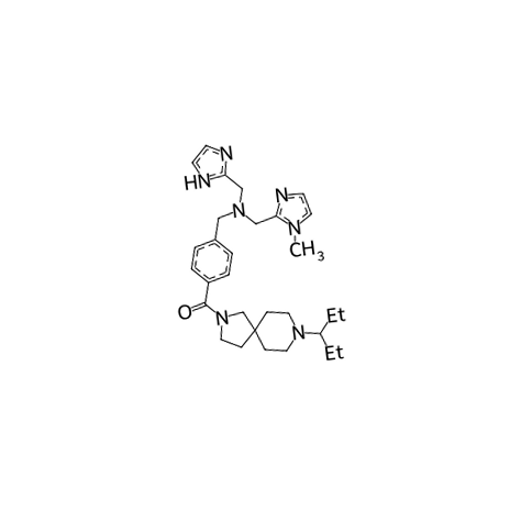 CCC(CC)N1CCC2(CCN(C(=O)c3ccc(CN(Cc4ncc[nH]4)Cc4nccn4C)cc3)C2)CC1